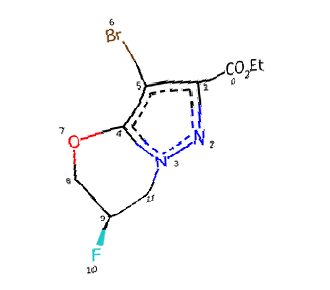 CCOC(=O)c1nn2c(c1Br)OC[C@H](F)C2